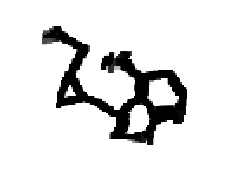 Bc1ccnc2[nH]cc(C3CC3CO)c12